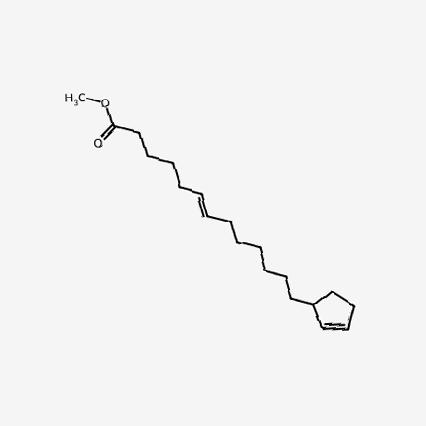 COC(=O)CCCCC=CCCCCCCC1C=CCC1